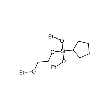 CCOCCO[Si](OCC)(OCC)C1CCCC1